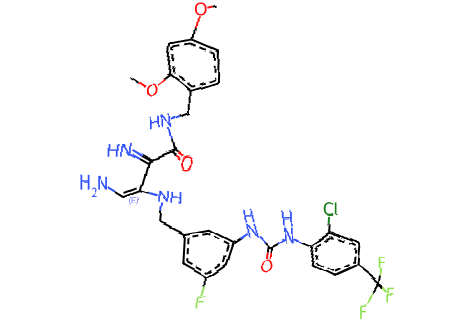 COc1ccc(CNC(=O)C(=N)/C(=C\N)NCc2cc(F)cc(NC(=O)Nc3ccc(C(F)(F)F)cc3Cl)c2)c(OC)c1